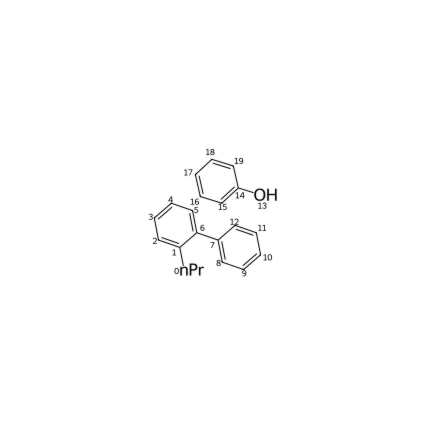 CCCc1ccccc1-c1ccccc1.Oc1ccccc1